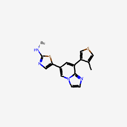 CC[C@@H](C)Nc1ncc(-c2cc(-c3cscc3C)c3nccn3c2)s1